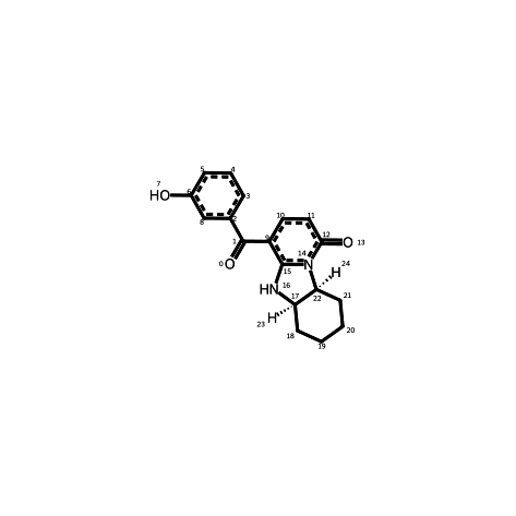 O=C(c1cccc(O)c1)c1ccc(=O)n2c1N[C@@H]1CCCC[C@@H]12